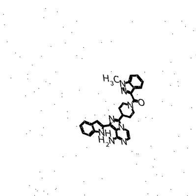 Cn1nc(C(=O)N2CCC(c3nc(-c4cc5ccccc5[nH]4)c4c(N)nccn34)CC2)c2ccccc21